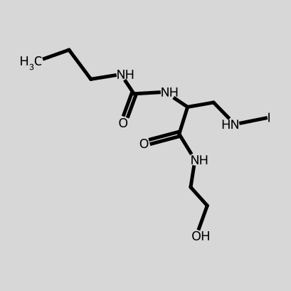 CCCNC(=O)NC(CNI)C(=O)NCCO